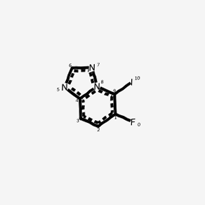 Fc1ccc2ncnn2c1I